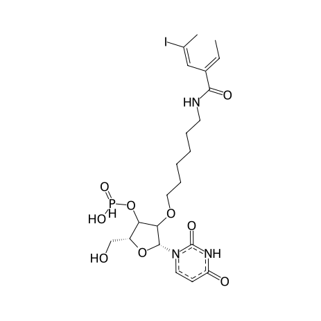 C/C=C(\C=C(/C)I)C(=O)NCCCCCCOC1C(O[PH](=O)O)[C@@H](CO)O[C@H]1n1ccc(=O)[nH]c1=O